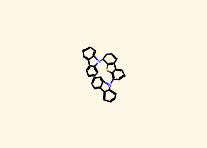 C1=Cc2c(sc3c(-n4c5ccccc5c5ccccc54)cccc23)C(n2c3ccccc3c3ccccc32)C1